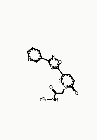 CCCNC(=O)Cn1nc(-c2nc(-c3cccnc3)no2)ccc1=O